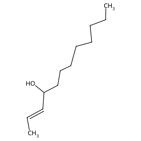 C/C=C/C(O)CCCCCCCC